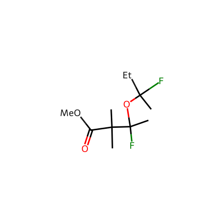 CCC(C)(F)OC(C)(F)C(C)(C)C(=O)OC